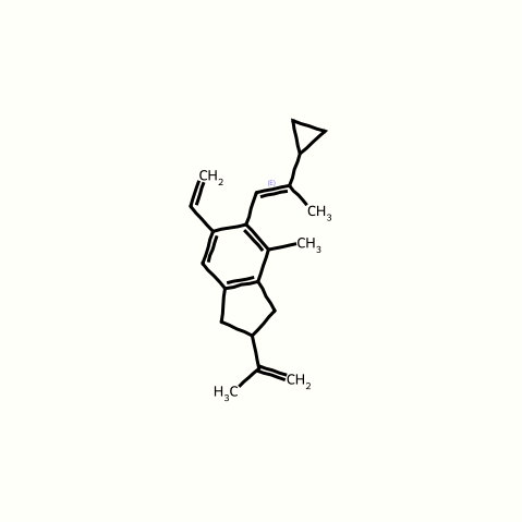 C=Cc1cc2c(c(C)c1/C=C(\C)C1CC1)CC(C(=C)C)C2